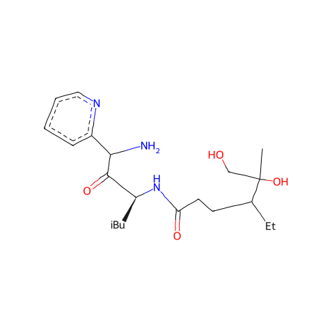 CCC(C)[C@H](NC(=O)CCC(CC)C(C)(O)CO)C(=O)C(N)c1ccccn1